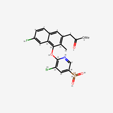 COC(=O)Cc1cc2ccc(F)cc2c(Oc2ncc([SH](=O)=O)cc2Br)c1C